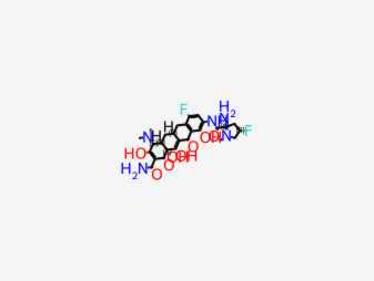 CN(C)[C@@H]1C(O)=C(C(N)=O)C(=O)[C@@]2(O)C(O)=C3C(=O)c4c(O)c(NC(=O)[C@]5(N)C[C@@H](F)CN5C)cc(F)c4C[C@H]3C[C@@H]12